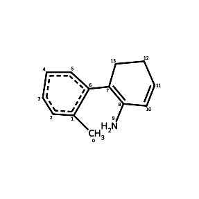 Cc1ccccc1C1=C(N)C=CCC1